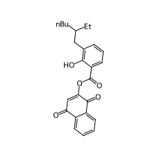 CCCCC(CC)Cc1cccc(C(=O)OC2=CC(=O)c3ccccc3C2=O)c1O